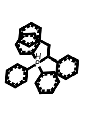 c1ccc(CC(c2ccccc2)[PH](c2ccccc2)(c2ccccc2)c2ccccc2)cc1